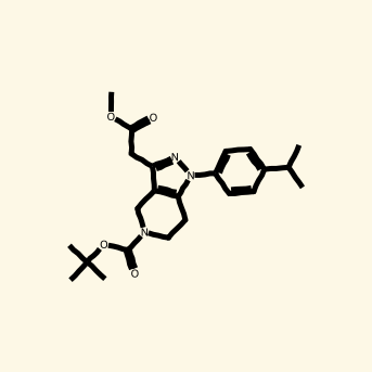 COC(=O)Cc1nn(-c2ccc(C(C)C)cc2)c2c1CN(C(=O)OC(C)(C)C)CC2